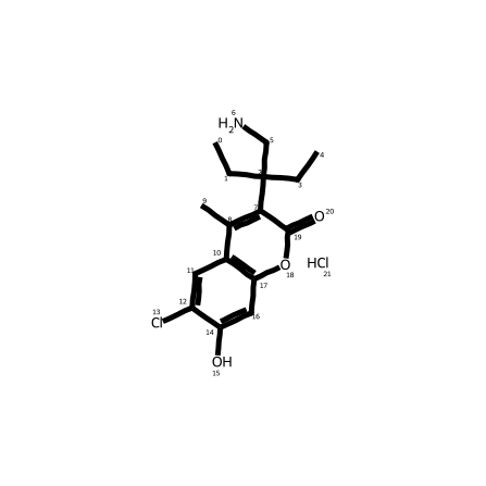 CCC(CC)(CN)c1c(C)c2cc(Cl)c(O)cc2oc1=O.Cl